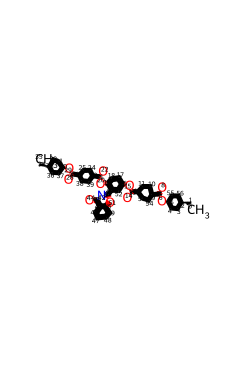 CC[C@H]1CC[C@H](OC(=O)C2CCC(C(=O)Oc3ccc(OC(=O)C4CCC(C(=O)O[C@H]5CC[C@H](CC)CC5)CC4)c(-c4nc(=O)c5ccccc5o4)c3)CC2)CC1